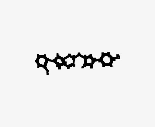 Fc1ccccc1-c1nc2c([nH]1)C=CN(Cc1cc(-c3ccc(Cl)cc3)no1)C2